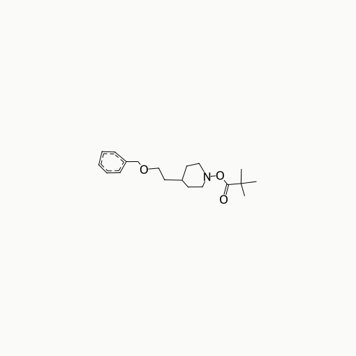 CC(C)(C)C(=O)ON1CCC(CCOCc2ccccc2)CC1